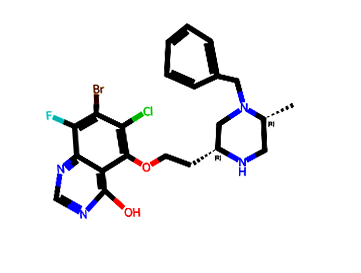 C[C@@H]1CN[C@H](CCOc2c(Cl)c(Br)c(F)c3ncnc(O)c23)CN1Cc1ccccc1